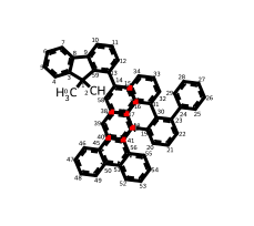 CC1(C)c2ccccc2-c2cccc(-c3ccc(N(c4cccc(-c5ccccc5)c4-c4ccccc4-c4ccccc4)c4cc5ccccc5c5ccccc45)cc3)c21